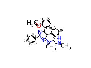 CNCCN(C)c1nc(-c2ccccc2)nc(-c2ccccc2OC)c1-c1ccccc1